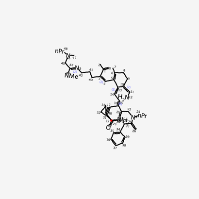 C=C(C)/C(=C\C1=C(C)CCC(=C/N)/C1=C\C=C1/C#CCN=C1CN(CCC)C(=C)[C@H](NC(=O)C1CC1)c1ccccc1)CCC/N=C(/CN(C)CCC)NC